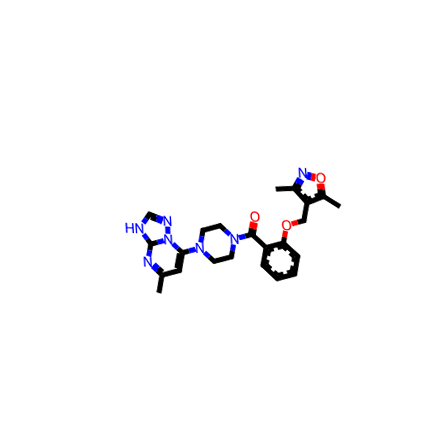 CC1=NC2NC=NN2C(N2CCN(C(=O)c3ccccc3OCc3c(C)noc3C)CC2)=C1